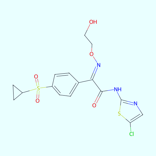 O=C(Nc1ncc(Cl)s1)/C(=N/OCCO)c1ccc(S(=O)(=O)C2CC2)cc1